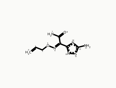 C=CCON=C(C(N)=O)c1nsc(N)n1